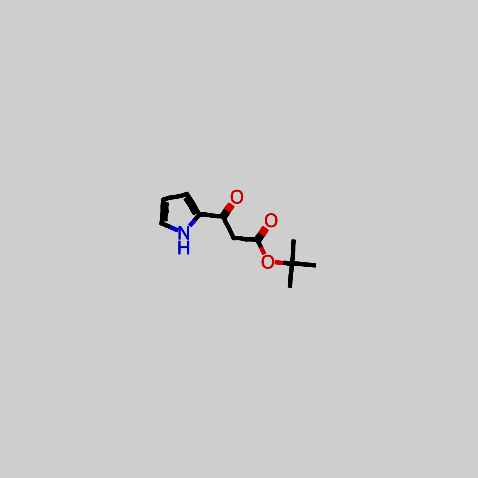 CC(C)(C)OC(=O)CC(=O)c1ccc[nH]1